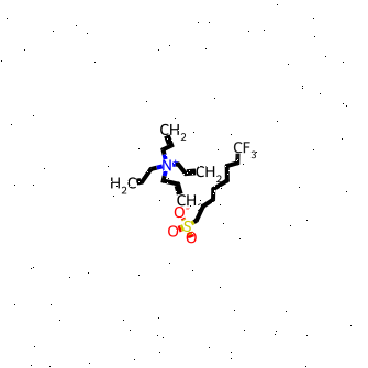 C=CC[N+](CC=C)(CC=C)CC=C.O=S(=O)([O-])CCCCCCCC(F)(F)F